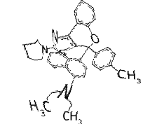 CCN(CC)c1ccc(C2(c3ccc(C)cc3)Oc3ccccc3-c3nc(N4CCCC4)sc32)c2ccccc12